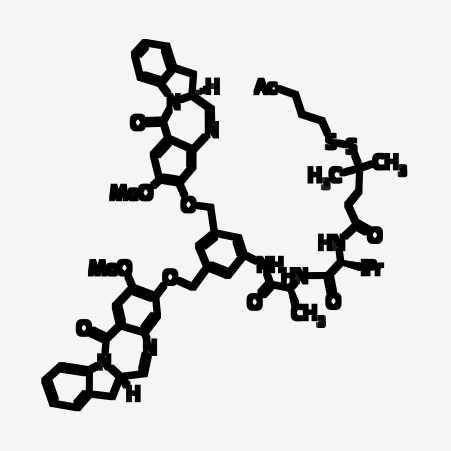 COc1cc2c(cc1OCc1cc(COc3cc4c(cc3OC)C(=O)N3c5ccccc5C[C@H]3C=N4)cc(NC(=O)[C@H](C)NC(=O)[C@@H](NC(=O)CCC(C)(C)SSCCCC(C)=O)C(C)C)c1)N=C[C@@H]1Cc3ccccc3N1C2=O